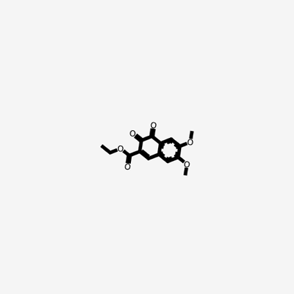 CCOC(=O)C1=Cc2cc(OC)c(OC)cc2C(=O)C1=O